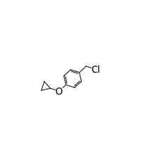 ClCc1ccc(OC2CC2)cc1